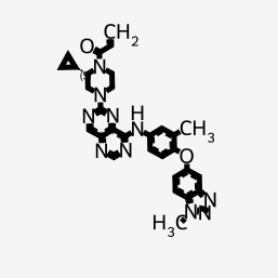 C=CC(=O)N1CCN(c2ncc3ncnc(Nc4ccc(Oc5ccc6c(c5)nnn6C)c(C)c4)c3n2)C[C@@H]1C1CC1